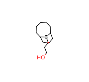 OCCCB1C2CCCCCC1CCC2